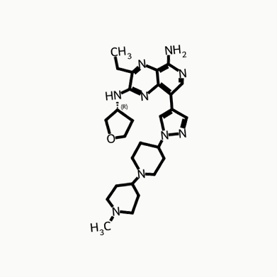 CCc1nc2c(N)ncc(-c3cnn(C4CCN(C5CCN(C)CC5)CC4)c3)c2nc1N[C@@H]1CCOC1